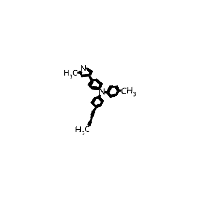 CC#CC#Cc1ccc(N(c2ccc(C)cc2)c2ccc(-c3ccnc(C)c3)cc2)cc1